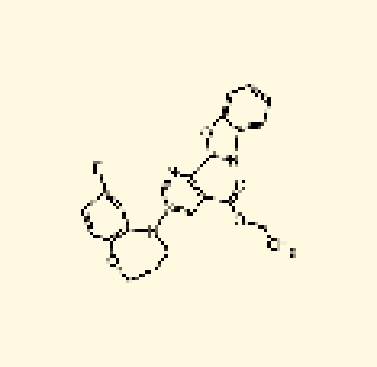 CCOC(=O)c1cc(N2CCCOc3ccc(F)cc32)cnc1-c1nc2ccccc2o1